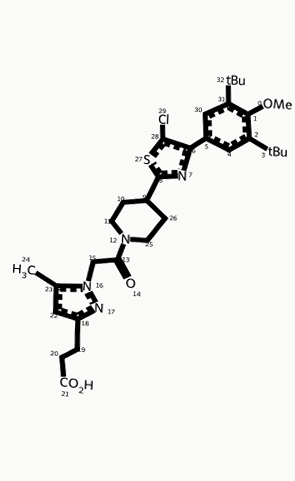 COc1c(C(C)(C)C)cc(-c2nc(C3CCN(C(=O)Cn4nc(CCC(=O)O)cc4C)CC3)sc2Cl)cc1C(C)(C)C